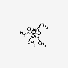 C=CCc1c(Cl)nc(OCCCC)c(C(=O)OCCCC)c1OCCCC